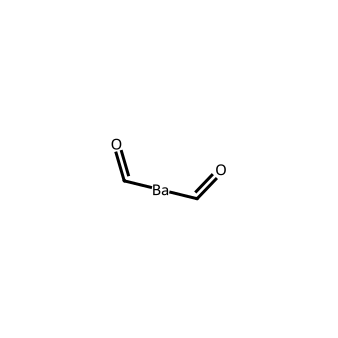 O=[CH][Ba][CH]=O